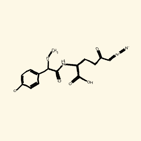 COC(C(=O)NC(CCC(=O)C=[N+]=[N-])C(=O)O)c1ccc(Cl)cc1